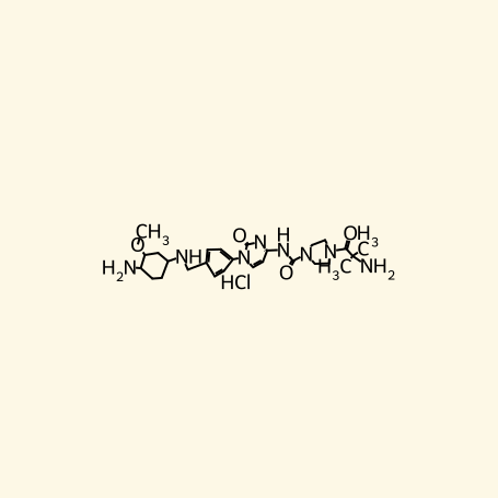 COC1CC(NCc2ccc(-n3ccc(NC(=O)N4CCN(C(=O)C(C)(C)N)CC4)nc3=O)cc2)CCC1N.Cl